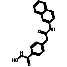 O=C(Cc1ccc(C(=O)NO)cc1)Nc1ccc2ccccc2c1